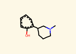 CN1CCCC(c2ccccc2O)C1